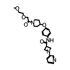 COCCOCC(=O)N1CCC(Oc2ccc(NC(=O)C3CN(c4cccnc4)C3)cc2)CC1